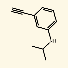 C#Cc1cccc(NC(C)C)c1